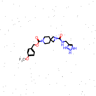 O=C(NCC1=CNNN1)N1CC2(CCN(C(=O)OCc3ccc(OC(F)(F)F)cc3)CC2)C1